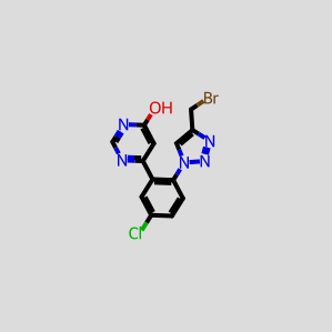 Oc1cc(-c2cc(Cl)ccc2-n2cc(CBr)nn2)ncn1